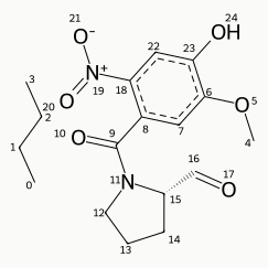 CCCC.COc1cc(C(=O)N2CCC[C@H]2C=O)c([N+](=O)[O-])cc1O